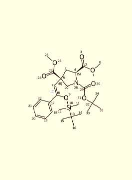 COC(=O)[C@@H]1C[C@](/C=C(\O[Si](C)(C)C(C)(C)C)c2ccccc2)(C(=O)OC)CN1C(=O)OC(C)(C)C